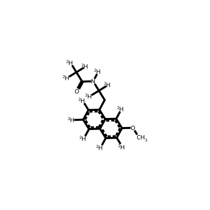 [2H]c1c([2H])c(CC([2H])([2H])N([2H])C(=O)C([2H])([2H])[2H])c2c([2H])c(OC)c([2H])c([2H])c2c1[2H]